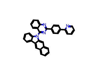 c1ccc(-c2ccc(-c3nc(-n4c5ccccc5c5cc6ccccc6cc54)c4ccccc4n3)cc2)nc1